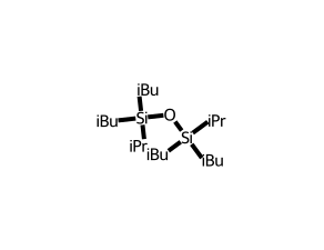 CCC(C)[Si](O[Si](C(C)C)(C(C)CC)C(C)CC)(C(C)C)C(C)CC